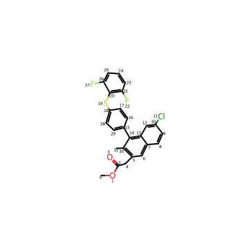 COC(=O)Cc1cc2ccc(Cl)cc2c(-c2ccc(Sc3c(F)cccc3F)cc2)c1C